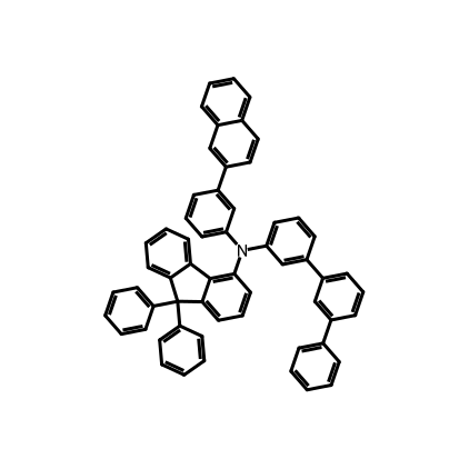 c1ccc(-c2cccc(-c3cccc(N(c4cccc(-c5ccc6ccccc6c5)c4)c4cccc5c4-c4ccccc4C5(c4ccccc4)c4ccccc4)c3)c2)cc1